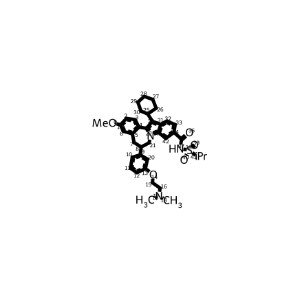 COc1ccc2c(c1)CC(c1cccc(OCCN(C)C)c1)Cn1c-2c(C2CCCCC2)c2ccc(C(=O)NS(=O)(=O)C(C)C)cc21